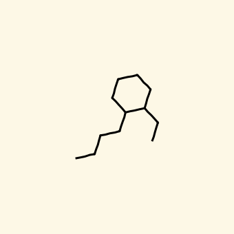 CCCCC1CCCCC1CC